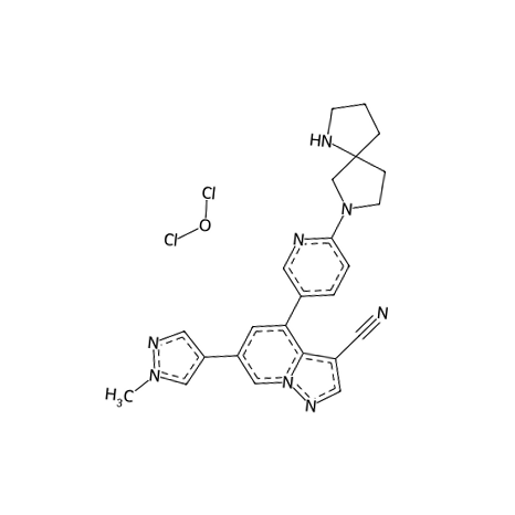 ClOCl.Cn1cc(-c2cc(-c3ccc(N4CCC5(CCCN5)C4)nc3)c3c(C#N)cnn3c2)cn1